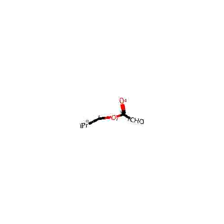 CC(C)COC(=O)C=O